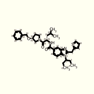 CCC(CC)n1c(Cc2cccs2)nc2cc(C(=O)N[C@@H](CC(C)C)C(=O)N3CC[C@H](OCc4ccccc4)C3)ccc21